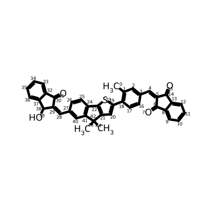 Cc1cc(C=C2C(=O)c3ccccc3C2=O)ccc1-c1cc2c(s1)-c1ccc(/C=C3\C(=O)c4ccccc4C3O)cc1C2(C)C